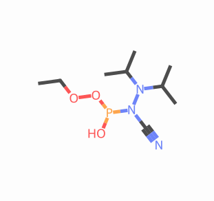 CCOOP(O)N(C#N)N(C(C)C)C(C)C